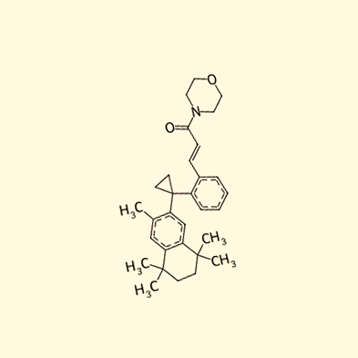 Cc1cc2c(cc1C1(c3ccccc3C=CC(=O)N3CCOCC3)CC1)C(C)(C)CCC2(C)C